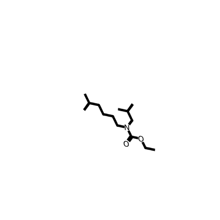 CCOC(=O)N(CCCCC(C)C)CC(C)C